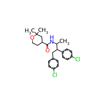 CC(NC(=O)C1CCOC(C)(C)C1)C(Cc1ccc(Cl)cc1)c1ccc(Cl)cc1